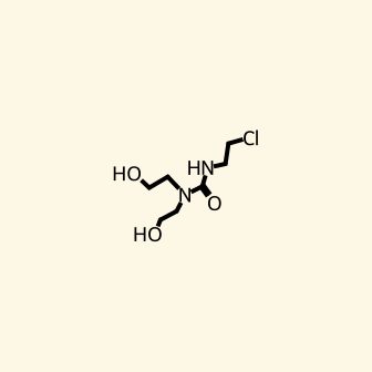 O=C(NCCCl)N(CCO)CCO